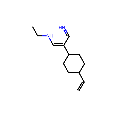 C=CC1CCC(/C(C=N)=C/NCC)CC1